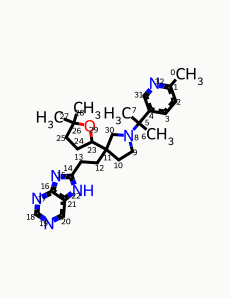 Cc1ccc(C(C)(C)N2CCC(CCc3nc4ncncc4[nH]3)(C3CCC(C)(C)O3)C2)cn1